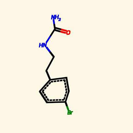 NC(=O)NCCc1ccc(Br)cc1